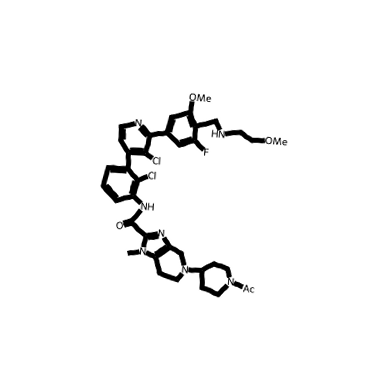 COCCNCc1c(F)cc(-c2nccc(-c3cccc(NC(=O)c4nc5c(n4C)CCN(C4CCN(C(C)=O)CC4)C5)c3Cl)c2Cl)cc1OC